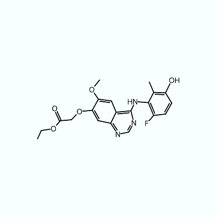 CCOC(=O)COc1cc2ncnc(Nc3c(F)ccc(O)c3C)c2cc1OC